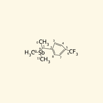 C[CH](c1ccc(C(F)(F)F)cc1)[Sb]([CH3])[CH3]